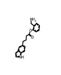 NCc1ccccc1OC(=O)CCCc1ccc2[nH]ccc2c1